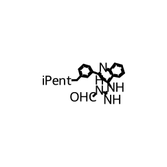 CCCC(C)Cc1cccc(-c2cc(NC(=N)NC=O)c3ccccc3n2)c1